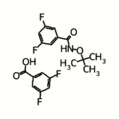 CC(C)(C)ONC(=O)c1cc(F)cc(F)c1.O=C(O)c1cc(F)cc(F)c1